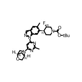 Cc1nc(N2C[C@H]3C[C@@H]2CO3)cc(-n2ncc3cc(C)c([C@@H]4CCN(C(=O)OC(C)(C)C)C[C@@H]4F)cc32)n1